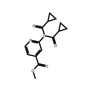 COC(=O)c1ccnc(N(C(=O)C2CC2)C(=O)C2CC2)c1